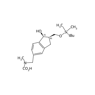 CN(Cc1ccc2c(c1)C[C@H](CO[Si](C)(C)C(C)(C)C)[C@@H]2O)C(=O)O